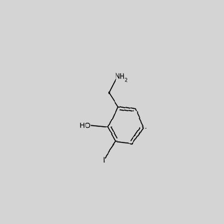 NCc1c[c]cc(I)c1O